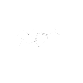 C=C(C)c1ccc(OC(C)(OC)C(C)(C)C)cc1